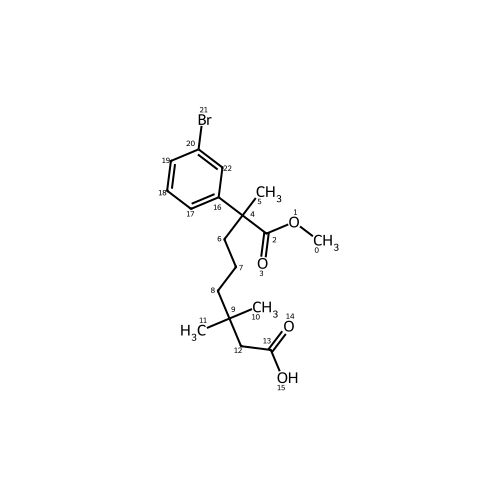 COC(=O)C(C)(CCCC(C)(C)CC(=O)O)c1cccc(Br)c1